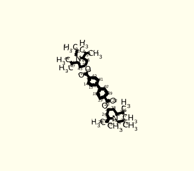 CCCN1C(C(C)C)CC(OC(=O)c2ccc(-c3ccc(C(=O)OC4CC(C(C)C)N(CCC)C(C(C)C)C4)cc3)cc2)CC1C(C)C